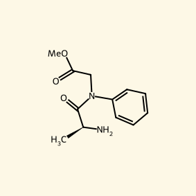 COC(=O)CN(C(=O)[C@H](C)N)c1ccccc1